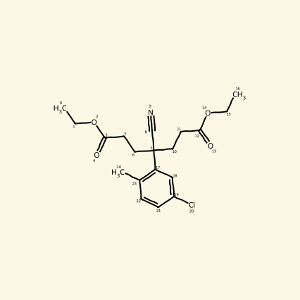 CCOC(=O)CCC(C#N)(CCC(=O)OCC)c1cc(Cl)ccc1C